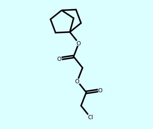 O=C(CCl)OCC(=O)OC12CCC(CC1)C2